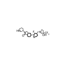 O=C1c2ccc(-c3nccc(CN4CCC(O)(C(F)(F)F)C4)c3F)cc2CN1C1CCCNC1